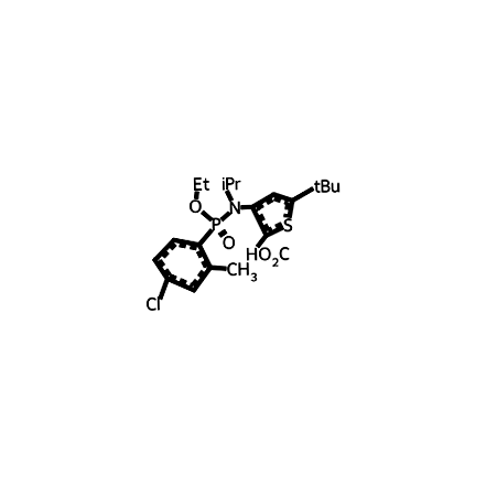 CCOP(=O)(c1ccc(Cl)cc1C)N(c1cc(C(C)(C)C)sc1C(=O)O)C(C)C